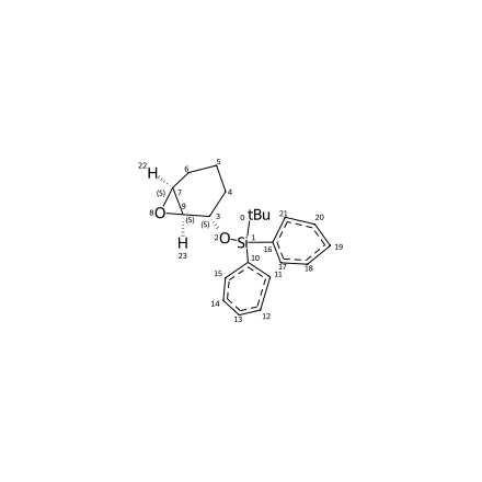 CC(C)(C)[Si](O[C@H]1CCC[C@@H]2O[C@@H]21)(c1ccccc1)c1ccccc1